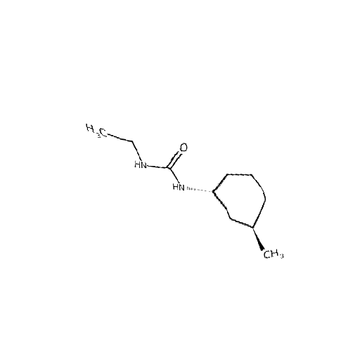 CCNC(=O)N[C@@H]1CCC[C@@H](C)C1